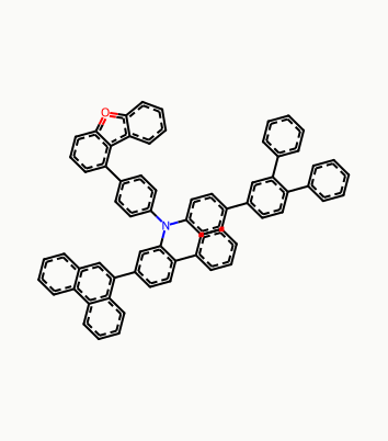 c1ccc(-c2ccc(-c3ccc(N(c4ccc(-c5cccc6oc7ccccc7c56)cc4)c4cc(-c5cc6ccccc6c6ccccc56)ccc4-c4ccccc4)cc3)cc2-c2ccccc2)cc1